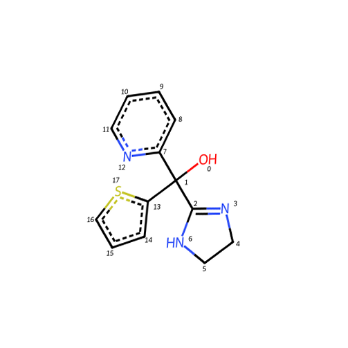 OC(C1=NCCN1)(c1ccccn1)c1cccs1